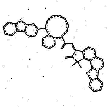 C=C(/C=C1\C(=C)C(C)(C)c2c1ccc1ccc3c4ccccc4sc3c21)c1ccccccc(-c2ccc3c(c2)sc2ccccc23)c2ccccc12